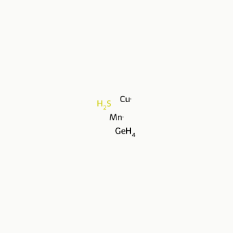 S.[Cu].[GeH4].[Mn]